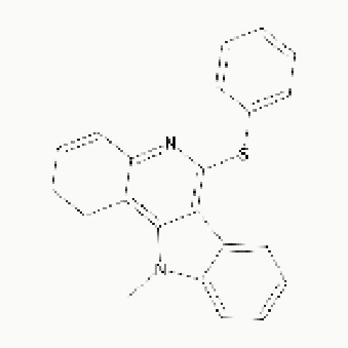 Cn1c2ccccc2c2c(Sc3ccccc3)nc3c(c21)CCC=C3